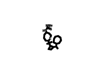 CNC(=S)NC1CCCC(C(C)(C)C2CCC2C(C)C2CCCCCCC2)CCC1